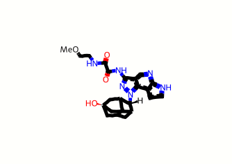 COCCNC(=O)C(=O)Nc1nn([C@H]2C3CC4CC2C[C@@](O)(C4)C3)c2c1cnc1[nH]ccc12